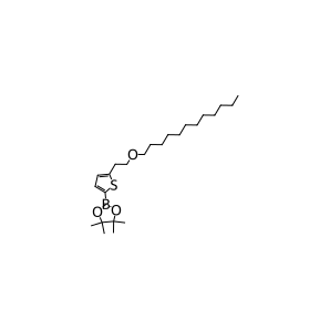 CCCCCCCCCCCCOCCc1ccc(B2OC(C)(C)C(C)(C)O2)s1